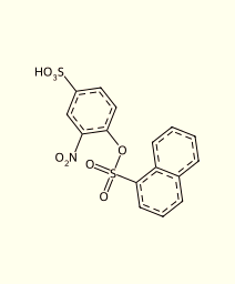 O=[N+]([O-])c1cc(S(=O)(=O)O)ccc1OS(=O)(=O)c1cccc2ccccc12